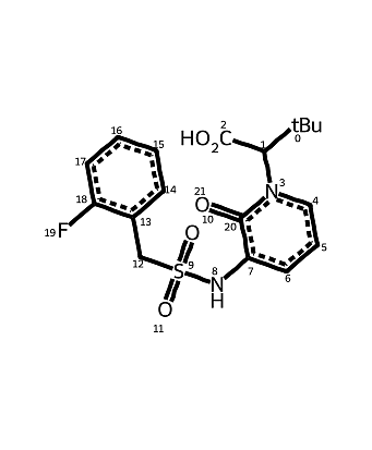 CC(C)(C)C(C(=O)O)n1cccc(NS(=O)(=O)Cc2ccccc2F)c1=O